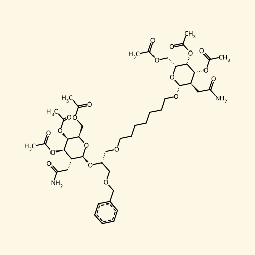 CC(=O)OC[C@H]1O[C@@H](OCCCCCCCOC[C@H](COCc2ccccc2)O[C@@H]2O[C@H](COC(C)=O)[C@H](OC(C)=O)[C@H](OC(C)=O)[C@H]2CC(N)=O)[C@H](CC(N)=O)[C@@H](OC(C)=O)[C@H]1OC(C)=O